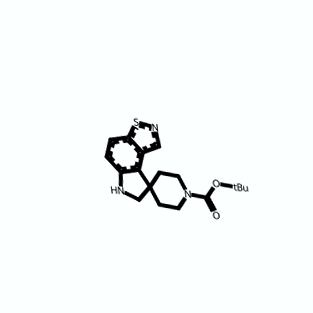 CC(C)(C)OC(=O)N1CCC2(CC1)CNc1ccc3sncc3c12